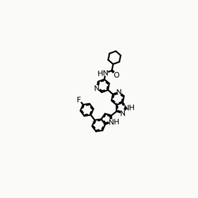 O=C(Nc1cncc(-c2cc3c(-c4cc5c(-c6ccc(F)cc6)cccc5[nH]4)n[nH]c3cn2)c1)C1CCCCC1